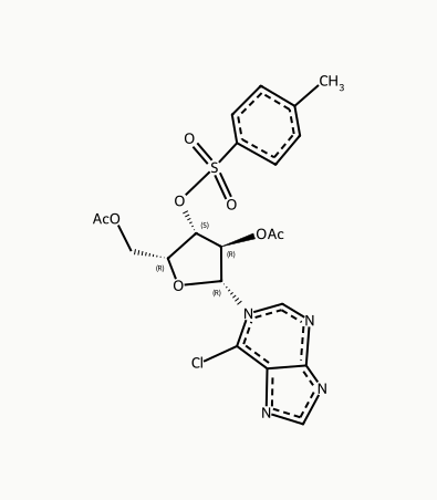 CC(=O)OC[C@H]1O[C@@H](n2cnc3ncnc-3c2Cl)[C@H](OC(C)=O)[C@H]1OS(=O)(=O)c1ccc(C)cc1